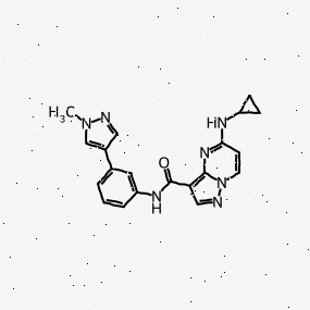 Cn1cc(-c2cccc(NC(=O)c3cnn4ccc(NC5CC5)nc34)c2)cn1